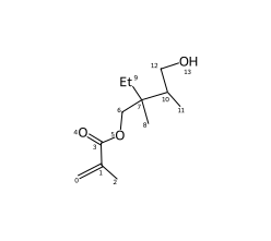 C=C(C)C(=O)OCC(C)(CC)C(C)CO